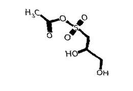 CC(=O)OS(=O)(=O)CC(O)CO